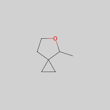 CC1OCCC12CC2